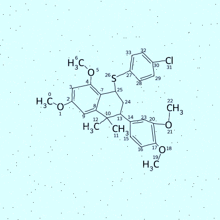 COc1cc(OC)c2c(c1)C(C)(C)C(c1ccc(OC)c(OC)c1)CC2Sc1ccc(Cl)cc1